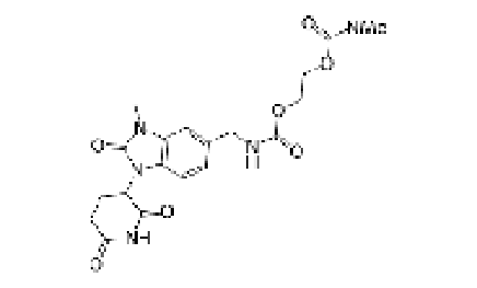 CNC(=O)OCCOC(=O)NCc1ccc2c(c1)n(C)c(=O)n2C1CCC(=O)NC1=O